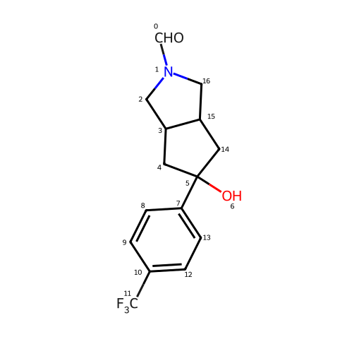 O=CN1CC2CC(O)(c3ccc(C(F)(F)F)cc3)CC2C1